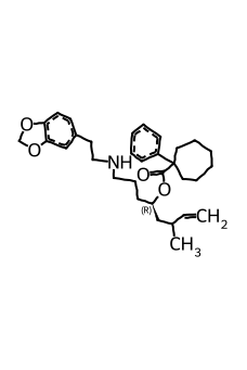 C=CC(C)C[C@@H](CCCNCCc1ccc2c(c1)OCO2)OC(=O)C1(c2ccccc2)CCCCCC1